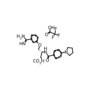 N=C(N)c1cccc(OC[C@@H](CC(=O)O)NC(=O)c2ccc(N3CCCC3)cc2)c1.O=C(O)C(F)(F)F